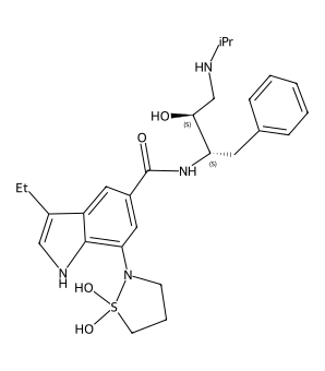 CCc1c[nH]c2c(N3CCCS3(O)O)cc(C(=O)N[C@@H](Cc3ccccc3)[C@@H](O)CNC(C)C)cc12